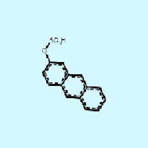 O=S(=O)(O)Oc1ccc2cc3ccccc3cc2c1